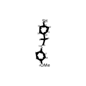 COc1ccc(SCC(C)(C)c2ccc(S)cc2)cc1